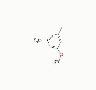 Cc1cc(OC(C)C)cc(C(F)(F)F)c1